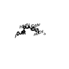 COc1nc(N2CCN(C[C@H](C)O)CC2)ccc1-c1cnc2[nH]cc(-c3cnn(Cc4cccc(F)c4)c3)c2c1